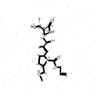 C=CCOC(=O)N1C(C=C(C)C(=O)C[C@H]2NC(=O)[C@@H]2[C@@H](C)O)CCC1COC